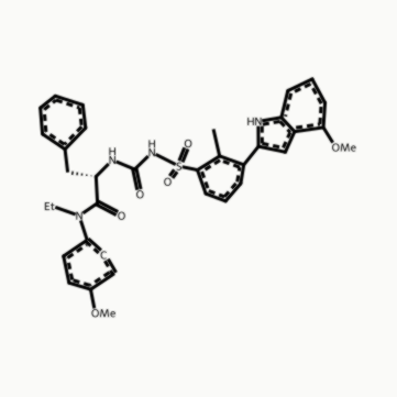 CCN(C(=O)[C@H](Cc1ccccc1)NC(=O)NS(=O)(=O)c1cccc(-c2cc3c(OC)cccc3[nH]2)c1C)c1ccc(OC)cc1